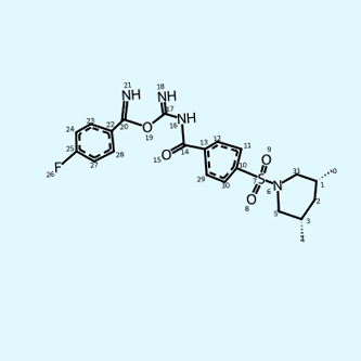 C[C@@H]1C[C@H](C)CN(S(=O)(=O)c2ccc(C(=O)NC(=N)OC(=N)c3ccc(F)cc3)cc2)C1